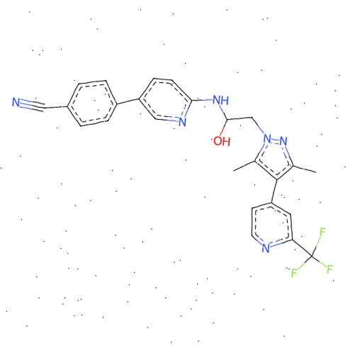 Cc1nn(CC(O)Nc2ccc(-c3ccc(C#N)cc3)cn2)c(C)c1-c1ccnc(C(F)(F)F)c1